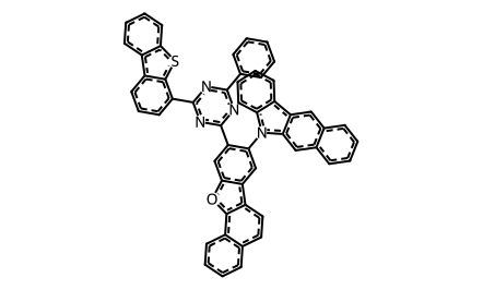 c1ccc(-c2nc(-c3cc4oc5c6ccccc6ccc5c4cc3-n3c4ccccc4c4cc5ccccc5cc43)nc(-c3cccc4c3sc3ccccc34)n2)cc1